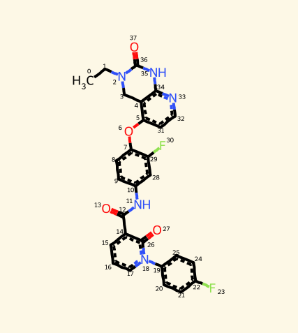 CCN1Cc2c(Oc3ccc(NC(=O)c4cccn(-c5ccc(F)cc5)c4=O)cc3F)ccnc2NC1=O